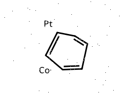 [Co].[Pt].c1ccccc1